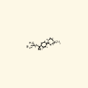 CC(C)CNC(=N)C1CCN(C2CCCN(C)CC2)CC1